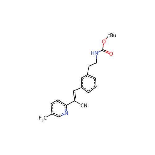 CC(C)(C)OC(=O)NCCc1cccc(/C=C(\C#N)c2ccc(C(F)(F)F)cn2)c1